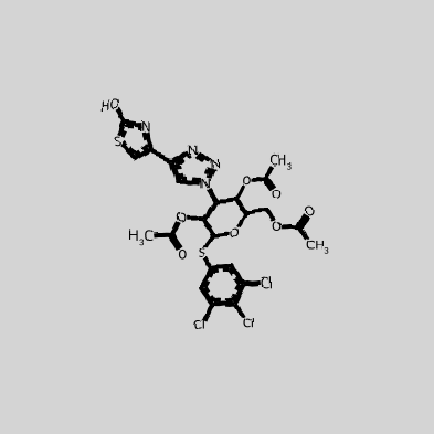 CC(=O)OCC1OC(Sc2cc(Cl)c(Cl)c(Cl)c2)C(OC(C)=O)C(n2cc(-c3csc(O)n3)nn2)C1OC(C)=O